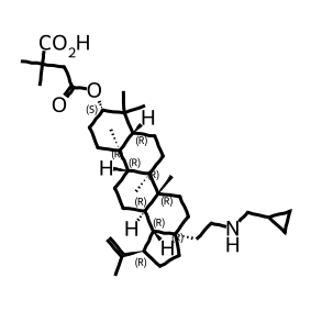 C=C(C)[C@@H]1CC[C@]2(CCNCC3CC3)CC[C@]3(C)[C@H](CC[C@@H]4[C@@]5(C)CC[C@H](OC(=O)CC(C)(C)C(=O)O)C(C)(C)[C@@H]5CC[C@]43C)[C@@H]12